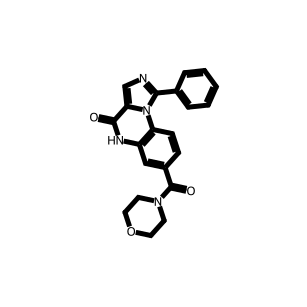 O=C(c1ccc2c(c1)[nH]c(=O)c1cnc(-c3ccccc3)n12)N1CCOCC1